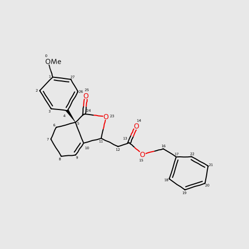 COc1ccc([C@]23CCCC=C2C(CC(=O)OCc2ccccc2)OC3=O)cc1